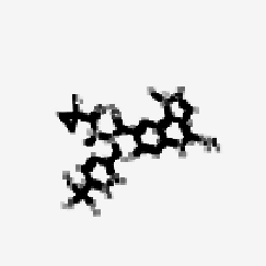 CN(C(=O)C1(F)CC1)N(Cc1ccc(C(F)(F)F)nn1)C(=O)c1cc2c(cc1F)nc(N)c1cnn(C)c12